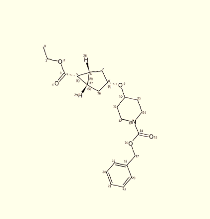 CCOC(=O)[C@@H]1[C@@H]2C[C@H](OC3CCN(C(=O)OCc4ccccc4)CC3)C[C@@H]21